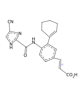 N#Cc1c[nH]c(C(=O)Nc2ccc(/C=C/C(=O)O)cc2C2=CCCCC2)n1